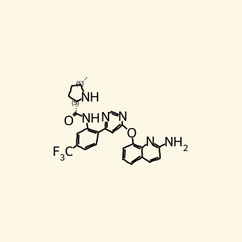 C[C@H]1CC[C@@H](C(=O)Nc2cc(C(F)(F)F)ccc2-c2cc(Oc3cccc4ccc(N)nc34)ncn2)N1